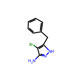 Nc1n[nH]c(Cc2ccccc2)c1Br